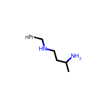 CCCCNCCC(C)N